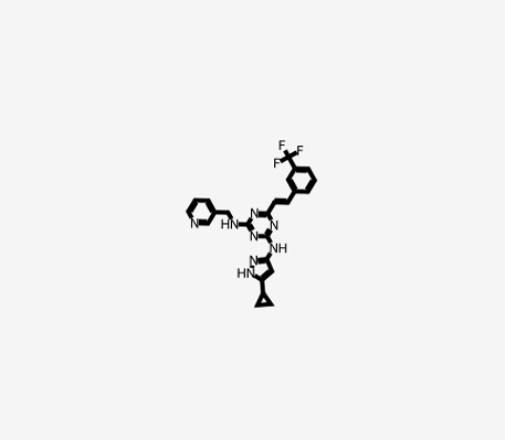 FC(F)(F)c1cccc(/C=C/c2nc(NCc3cccnc3)nc(Nc3cc(C4CC4)[nH]n3)n2)c1